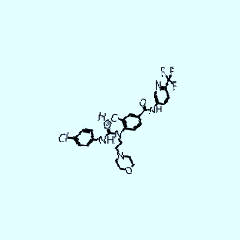 Cc1cc(C(=O)Nc2ccc(C(F)(F)F)nc2)ccc1N(CCN1CCOCC1)C(=O)Nc1ccc(Cl)cc1